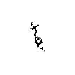 Cc1cnn(CCC(F)(F)F)c1